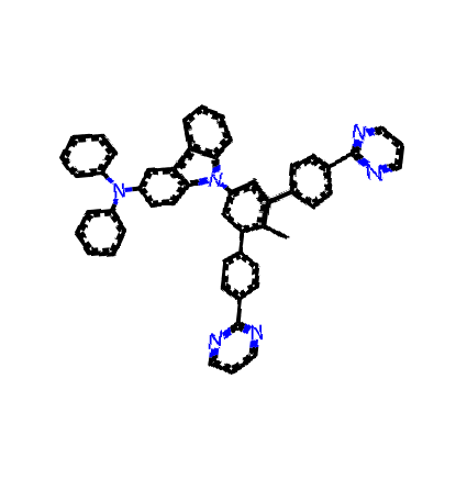 Cc1c(-c2ccc(-c3ncccn3)cc2)cc(-n2c3ccccc3c3cc(N(c4ccccc4)c4ccccc4)ccc32)cc1-c1ccc(-c2ncccn2)cc1